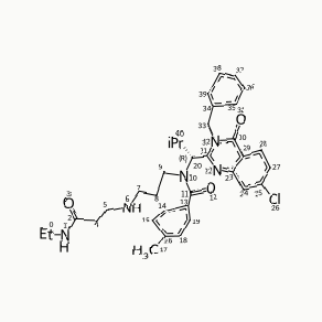 CCNC(=O)CCNCCCN(C(=O)c1ccc(C)cc1)[C@@H](c1nc2cc(Cl)ccc2c(=O)n1Cc1ccccc1)C(C)C